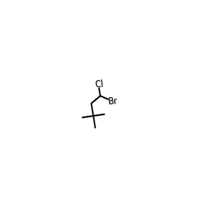 CC(C)(C)CC(Cl)Br